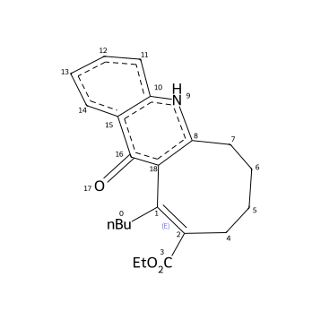 CCCC/C1=C(\C(=O)OCC)CCCCc2[nH]c3ccccc3c(=O)c21